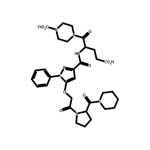 CCOC(=O)N1CCN(C(=O)C(CCC(=O)O)NC(=O)c2cc(OCC(=O)N3CCCC3C(=O)N3CCCCC3)n(-c3ccccc3)n2)CC1